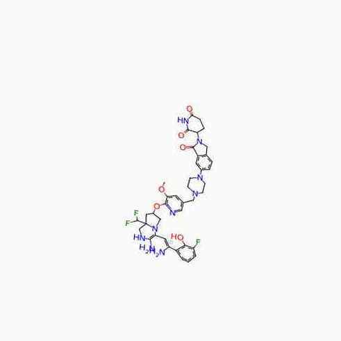 COc1cc(CN2CCN(c3ccc4c(c3)C(=O)N(C3CCC(=O)NC3=O)C4)CC2)cnc1OC1CN2C(/C=C(\N)c3cccc(F)c3O)=C(N)NCC2(C(F)F)C1